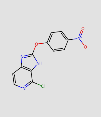 O=[N+]([O-])c1ccc(Oc2nc3ccnc(Cl)c3[nH]2)cc1